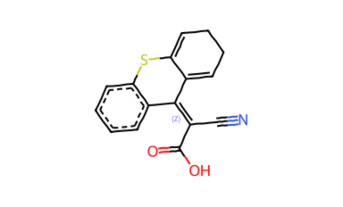 N#C/C(C(=O)O)=C1\C2=CCCC=C2Sc2ccccc21